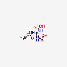 BOC(=O)NB(NC(=O)O)NC(=O)O